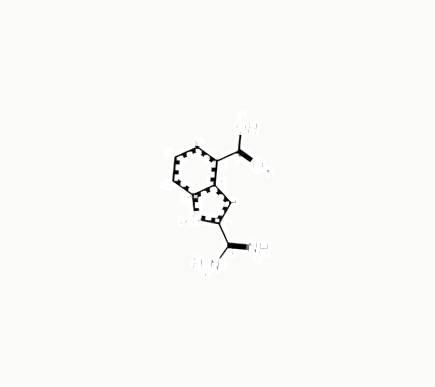 N=C(N)c1cc2c(C(=O)O)cccc2s1